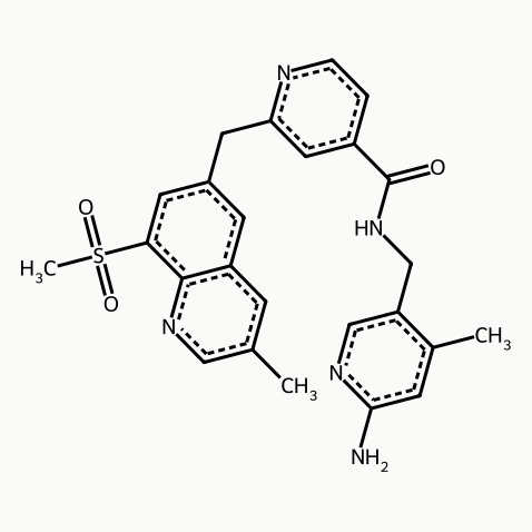 Cc1cnc2c(S(C)(=O)=O)cc(Cc3cc(C(=O)NCc4cnc(N)cc4C)ccn3)cc2c1